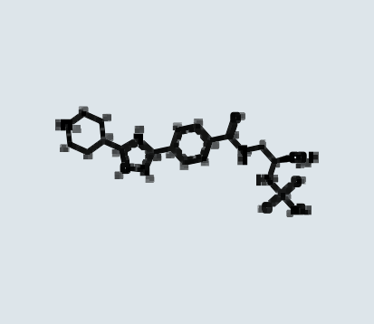 CCCCS(=O)(=O)N[C@@H](CNC(=O)c1ccc(-c2noc(C3CCNCC3)n2)cc1)C(=O)O